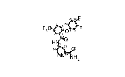 Cc1cc(Oc2ccc(C(F)(F)F)cc2C(=O)Nc2ccnc(C(N)=O)c2)ccc1F